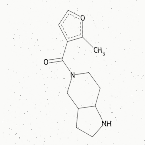 Cc1occc1C(=O)N1CCC2NCCC2C1